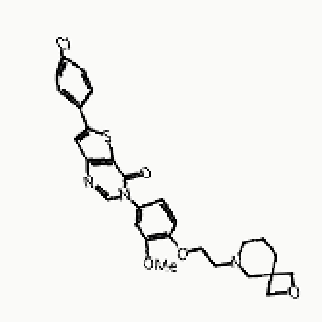 COc1cc(-n2cnc3cc(-c4ccc(Cl)cc4)sc3c2=O)ccc1OCCN1CCCC2(COC2)C1